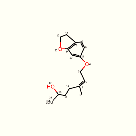 CC(=CCOc1ccc2c(c1)OCC2)CCC(O)C(C)(C)C